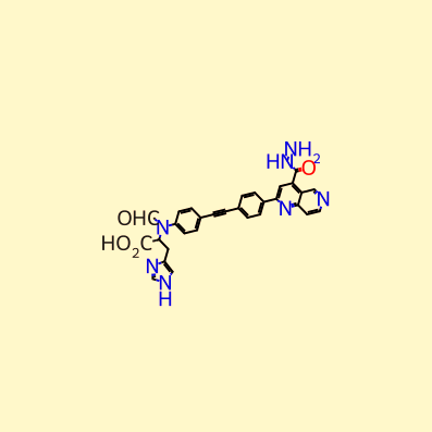 NNC(=O)c1cc(-c2ccc(C#Cc3ccc(N(C=O)C(Cc4c[nH]cn4)C(=O)O)cc3)cc2)nc2ccncc12